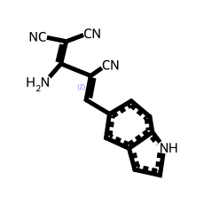 N#CC(C#N)=C(N)/C(C#N)=C/c1ccc2[nH]ccc2c1